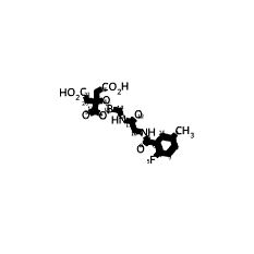 Cc1ccc(F)c(C(=O)NCC(=O)NCB2OC(=O)C(CC(=O)O)(CC(=O)O)O2)c1